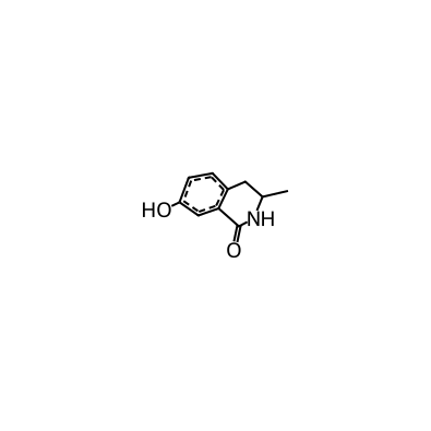 CC1Cc2ccc(O)cc2C(=O)N1